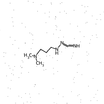 CN(C)CCCNN=C=N